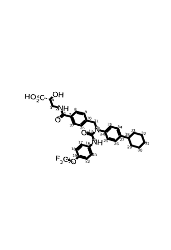 O=C(NC[C@@H](O)C(=O)O)c1ccc(CN(C(=O)Nc2ccc(OC(F)(F)F)cc2)c2ccc(C3CCCCC3)cc2)cc1